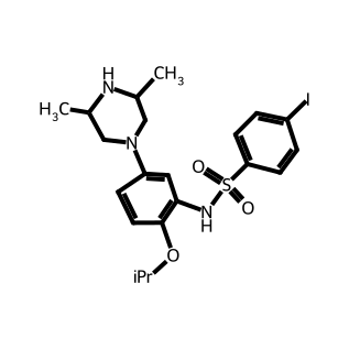 CC1CN(c2ccc(OC(C)C)c(NS(=O)(=O)c3ccc(I)cc3)c2)CC(C)N1